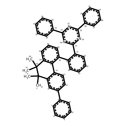 CC1(C)c2cc(-c3ccccc3)ccc2-c2c(-c3ccccc3-c3nc(-c4ccccc4)nc(-c4ccccc4)n3)cccc2C1(C)C